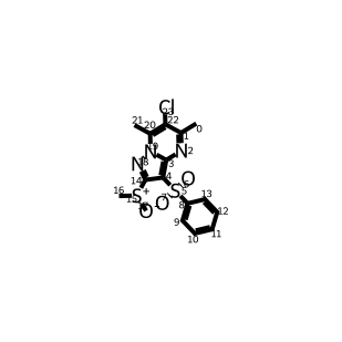 Cc1nc2c(S(=O)(=O)c3ccccc3)c([S+](C)[O-])nn2c(C)c1Cl